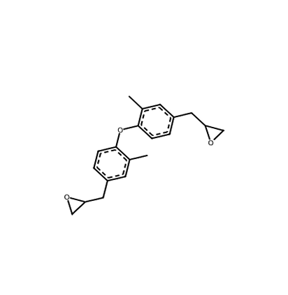 Cc1cc(CC2CO2)ccc1Oc1ccc(CC2CO2)cc1C